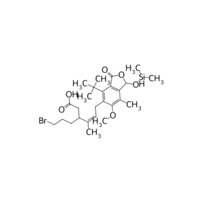 COc1c(C)c2c(c(C(C)(C)C)c1CC=C(C)C(CCCBr)CC(=O)O)C(=O)OC2O[SiH](C)C